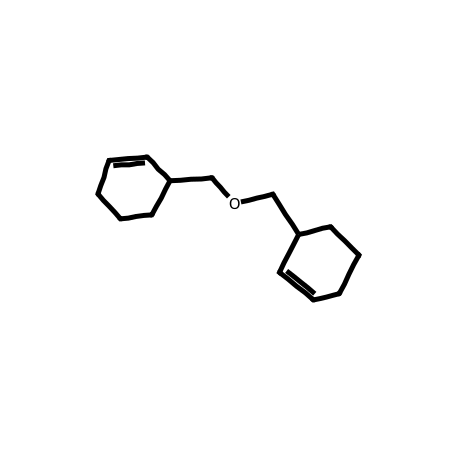 C1=CC(COCC2C=CCCC2)CCC1